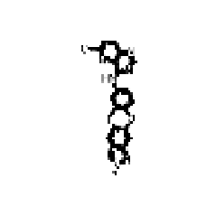 Cn1cc2ccc(Oc3ccc(Nc4ncnc5ccc(Cl)nc45)cc3F)cc2n1